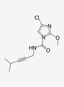 COc1nc(Cl)cn1C(=O)NCC#CC(C)C